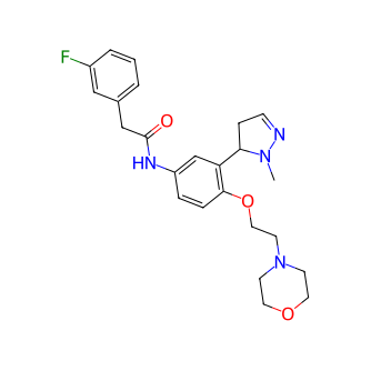 CN1N=CCC1c1cc(NC(=O)Cc2cccc(F)c2)ccc1OCCN1CCOCC1